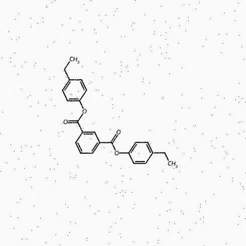 CCc1ccc(OC(=O)c2cccc(C(=O)Oc3ccc(CC)cc3)c2)cc1